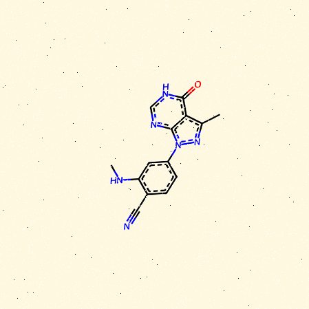 CNc1cc(-n2nc(C)c3c(=O)[nH]cnc32)ccc1C#N